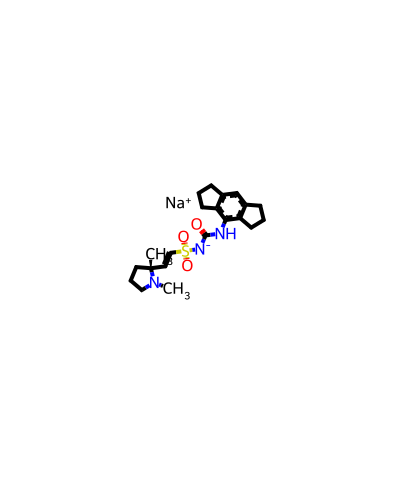 CN1CCC[C@]1(C)/C=C/S(=O)(=O)[N-]C(=O)Nc1c2c(cc3c1CCC3)CCC2.[Na+]